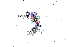 CC(=O)C(/N=N/c1cccc(C(=O)O)c1C(=O)O)C(=O)Nc1cc(Cl)c(NC(=O)C(/N=N/c2cccc(C(=O)O)c2C(=O)O)C(C)=O)cc1Cl